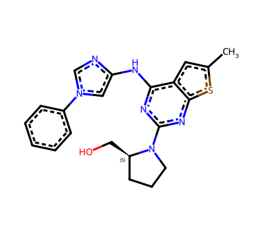 Cc1cc2c(Nc3cn(-c4ccccc4)cn3)nc(N3CCC[C@H]3CO)nc2s1